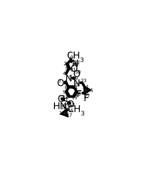 Cc1cc(Cn2c(=O)c3cc(S(=O)(=O)NC4(C)CC4)ccc3n(CC3CC3(F)F)c2=O)on1